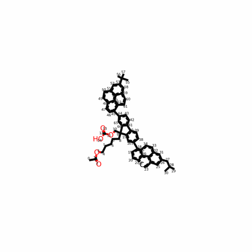 CC(=O)OCCCCCC1(COC(=O)O)c2cc(-c3ccc4ccc5cc(CC(C)C)cc6ccc3c4c56)ccc2-c2ccc(-c3ccc4ccc5cc(C(C)(C)C)cc6ccc3c4c56)cc21